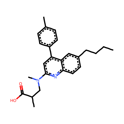 CCCCc1ccc2nc(N(C)CC(C)C(=O)O)cc(-c3ccc(C)cc3)c2c1